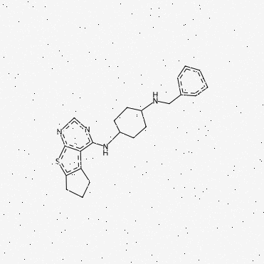 c1ccc(CNC2CCC(Nc3ncnc4sc5c(c34)CCC5)CC2)cc1